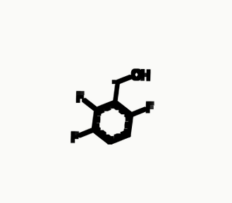 O[CH]c1c(F)ccc(F)c1F